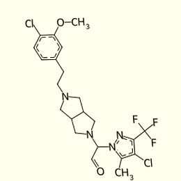 COc1cc(CCN2CC3CN(C(C=O)n4nc(C(F)(F)F)c(Cl)c4C)CC3C2)ccc1Cl